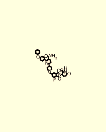 NC(=O)c1ccc(C2CCN(Cc3cc(F)c4c(c3)C(=O)N(C3CCC(=O)NC3=O)C4=O)CC2)nc1-c1ccc(Oc2ccccc2)cc1